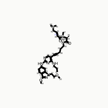 CCCNc1nc(Nc2ccc3c(OC)nn(CCOC)c3c2)ncc1C#CCCCNC(=O)[C@H](C)N(C)C(=O)/C=C/CN(C)C